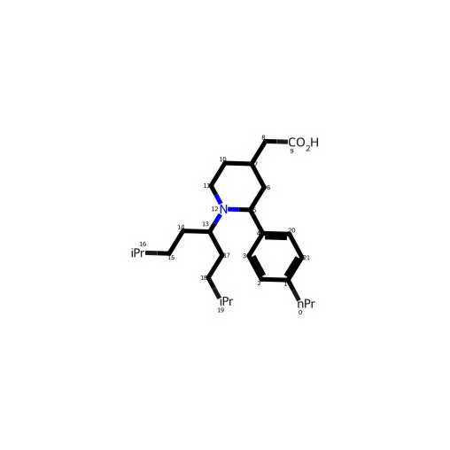 CCCc1ccc(C2CC(CC(=O)O)CCN2C(CCC(C)C)CCC(C)C)cc1